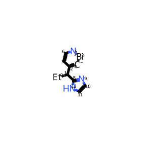 CCC(C1=[C-][Bi]=[N]C=C1)c1ncc[nH]1